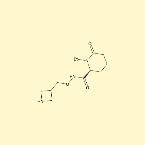 CCN1C(=O)CCC[C@H]1C(=O)NOCC1CNC1